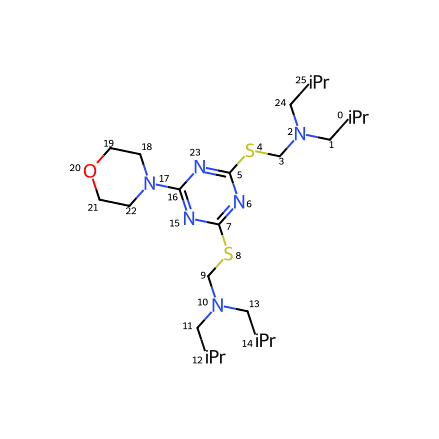 CC(C)CN(CSc1nc(SCN(CC(C)C)CC(C)C)nc(N2CCOCC2)n1)CC(C)C